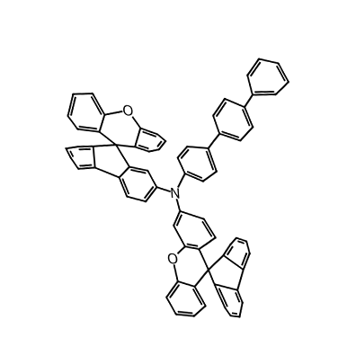 c1ccc(-c2ccc(-c3ccc(N(c4ccc5c(c4)Oc4ccccc4C54c5ccccc5-c5ccccc54)c4ccc5c(c4)C4(c6ccccc6Oc6ccccc64)c4ccccc4-5)cc3)cc2)cc1